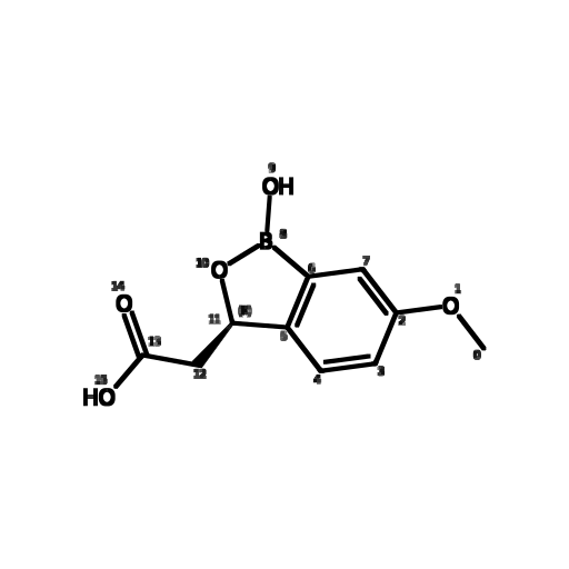 COc1ccc2c(c1)B(O)O[C@@H]2CC(=O)O